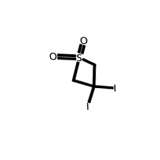 O=S1(=O)CC(I)(I)C1